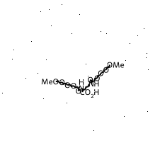 COCCOCCOCCOCCC(=O)NCCCCC(NC(=O)CCOCCOCCOCCOC)C(=O)O